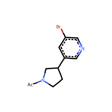 CC(=O)N1CCC(c2cncc(Br)c2)C1